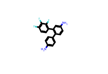 Nc1ccc(-c2ccc(N)cc2-c2ccc(F)c(F)c2F)cc1